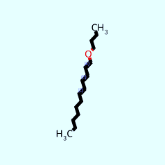 CCCCCC/C=C/C=C/C=C/OCCCC